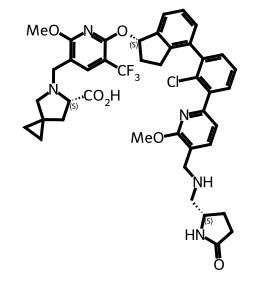 COc1nc(-c2cccc(-c3cccc4c3CC[C@@H]4Oc3nc(OC)c(CN4CC5(CC5)C[C@H]4C(=O)O)cc3C(F)(F)F)c2Cl)ccc1CNC[C@@H]1CCC(=O)N1